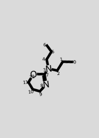 CCCN(CCC)C1=NCCCO1